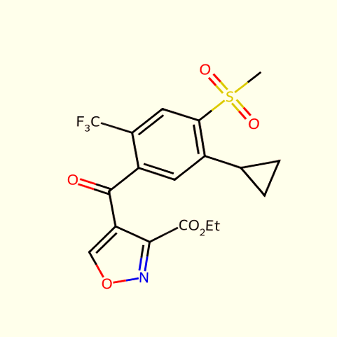 CCOC(=O)c1nocc1C(=O)c1cc(C2CC2)c(S(C)(=O)=O)cc1C(F)(F)F